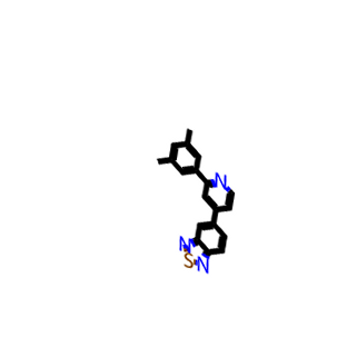 Cc1cc(C)cc(-c2cc(-c3ccc4nsnc4c3)ccn2)c1